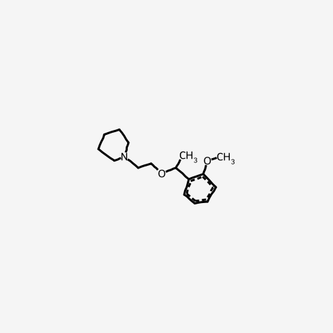 COc1ccccc1C(C)OCCN1CCCCC1